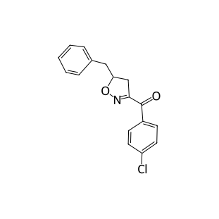 O=C(C1=NOC(Cc2ccccc2)C1)c1ccc(Cl)cc1